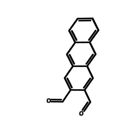 O=Cc1cc2cc3ccccc3cc2cc1C=O